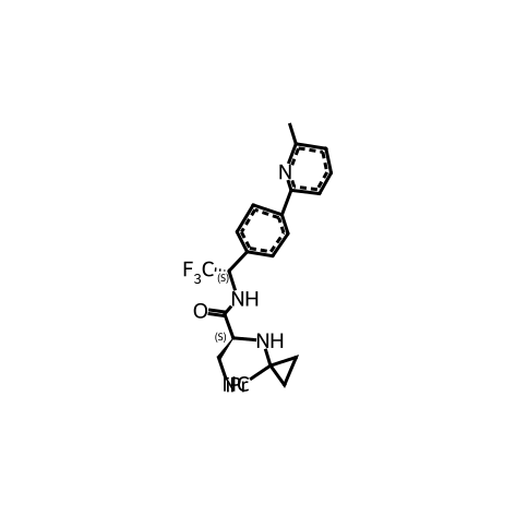 Cc1cccc(-c2ccc([C@H](NC(=O)[C@H](CC(C)C)NC3(C#N)CC3)C(F)(F)F)cc2)n1